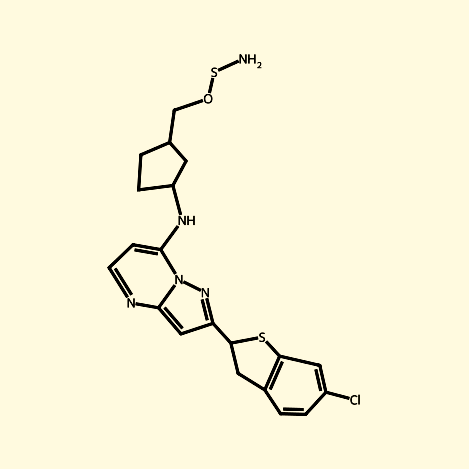 NSOCC1CCC(Nc2ccnc3cc(C4Cc5ccc(Cl)cc5S4)nn23)C1